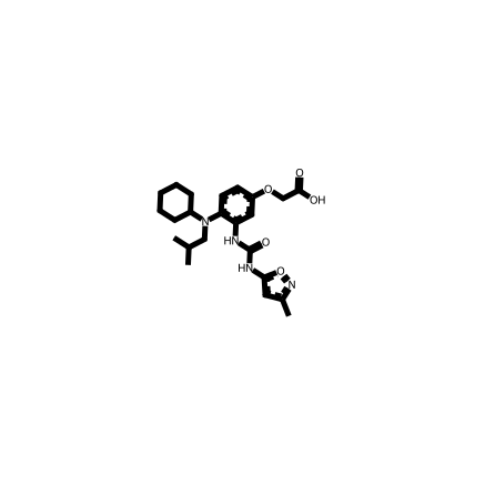 Cc1cc(NC(=O)Nc2cc(OCC(=O)O)ccc2N(CC(C)C)C2CCCCC2)on1